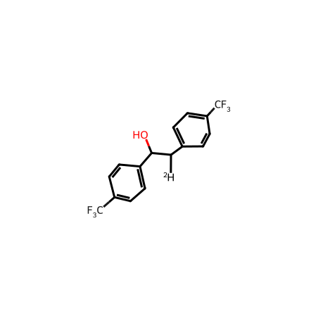 [2H]C(c1ccc(C(F)(F)F)cc1)C(O)c1ccc(C(F)(F)F)cc1